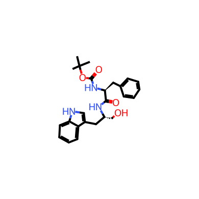 CC(C)(C)OC(=O)N[C@@H](Cc1ccccc1)C(=O)N[C@H](CO)Cc1c[nH]c2ccccc12